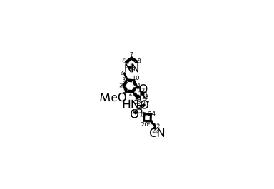 COc1cc(Cn2cccn2)cc2onc(NS(=O)(=O)C3CC(CC#N)C3)c12